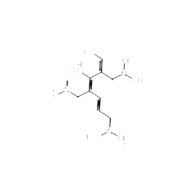 C\C=C(CN(C)C)/C(C)=C(\C=C\CN(C)C)CN(C)C